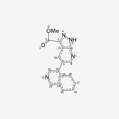 COC(=O)c1n[nH]c2ncc(-c3cncc4ccccc34)cc12